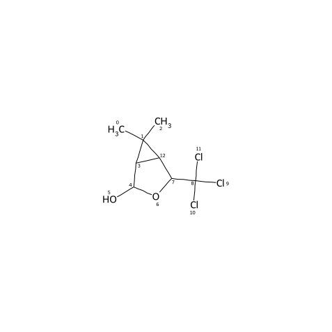 CC1(C)C2C(O)OC(C(Cl)(Cl)Cl)C21